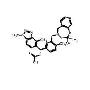 Cc1ccc([C@H](CC(=O)O)c2ccc3c(nnn3C)c2C)cc1CN1Cc2ccncc2OC(C)(C)C1